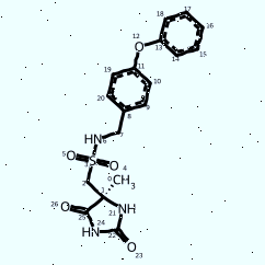 C[C@]1(CS(=O)(=O)NCc2ccc(Oc3ccccc3)cc2)NC(=O)NC1=O